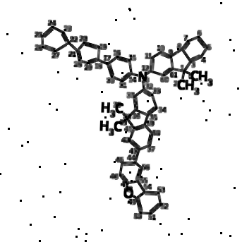 CC1(C)c2ccccc2-c2ccc(N(c3ccc(-c4ccc(-c5ccccc5)cc4)cc3)c3ccc4c(c3)C(C)(C)c3cc(-c5ccc6oc7ccccc7c6c5)ccc3-4)cc21